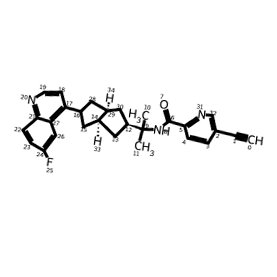 C#Cc1ccc(C(=O)NC(C)(C)[C@H]2C[C@H]3CC(c4ccnc5ccc(F)cc45)C[C@H]3C2)nc1